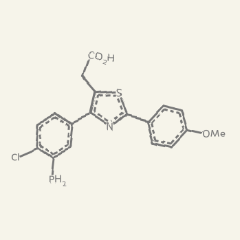 COc1ccc(-c2nc(-c3ccc(Cl)c(P)c3)c(CC(=O)O)s2)cc1